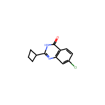 O=c1[nH]c(C2CCC2)nc2cc(Cl)ccc12